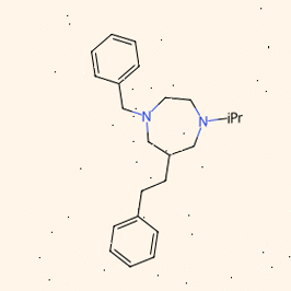 CC(C)N1CCN(Cc2ccccc2)CC(CCc2ccccc2)C1